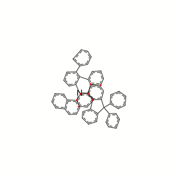 c1ccc(-c2ccccc2-c2c(-c3ccccc3)cccc2N(c2cccc3c2-c2ccccc2C3(c2ccccc2)c2ccccc2)c2cccc3ccccc23)cc1